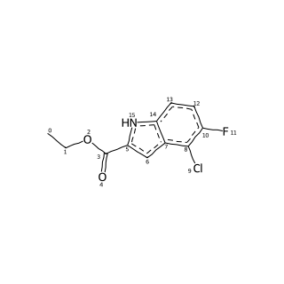 CCOC(=O)c1cc2c(Cl)c(F)ccc2[nH]1